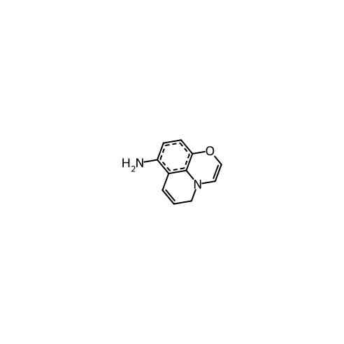 Nc1ccc2c3c1C=CCN3C=CO2